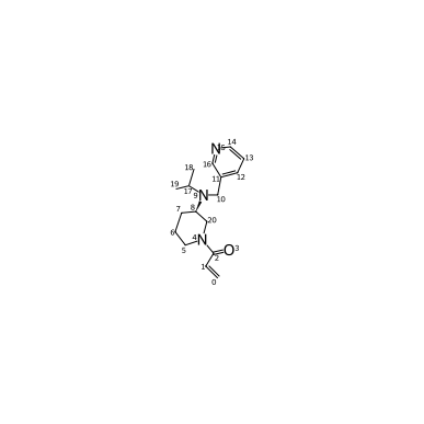 C=CC(=O)N1CCC[C@@H](N(Cc2cccnc2)C(C)C)C1